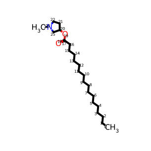 CCCCCCCCCCCCCCCCCC(=O)OC1CCN(C)C1